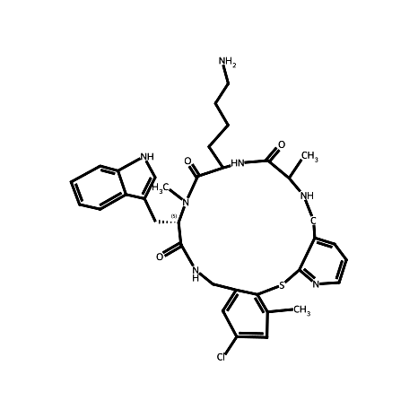 Cc1cc(Cl)cc2c1Sc1ncccc1CNC(C)C(=O)NC(CCCCN)C(=O)N(C)[C@@H](Cc1c[nH]c3ccccc13)C(=O)NC2